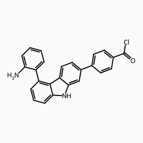 Nc1ccccc1-c1cccc2[nH]c3cc(-c4ccc(C(=O)Cl)cc4)ccc3c12